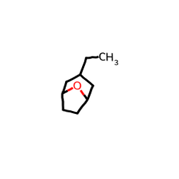 CCC1CC2CCC(C1)O2